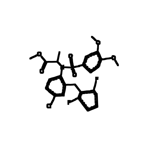 COC(=O)C(C)N(c1ccc(Cl)cc1Cc1c(F)cccc1F)S(=O)(=O)c1ccc(OC)c(OC)c1